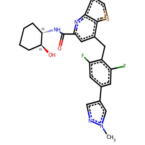 Cn1cc(-c2cc(F)c(Cc3cc(C(=O)N[C@H]4CCCC[C@@H]4O)nc4ccsc34)c(F)c2)cn1